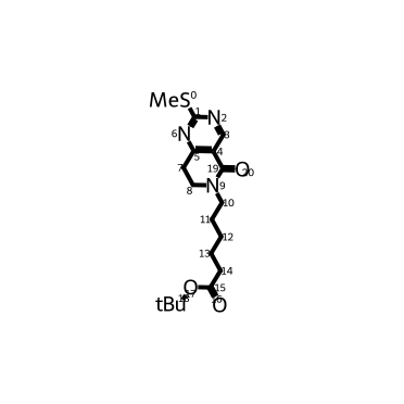 CSc1ncc2c(n1)CCN(CCCCCC(=O)OC(C)(C)C)C2=O